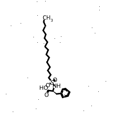 CCCCCCCCCCCCCCCCS(=O)(=O)N[C@@H](Cc1ccccc1)C(=O)O